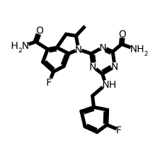 CC1Cc2c(C(N)=O)cc(F)cc2N1c1nc(NCc2cccc(F)c2)nc(C(N)=O)n1